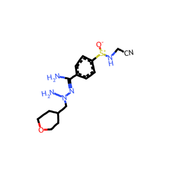 N#CCN[S+]([O-])c1ccc(/C(N)=N/N(N)CC2CCOCC2)cc1